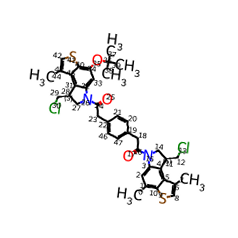 Cc1cc2c(c3c(C)csc13)[C@H](CCl)CN2C(=O)Cc1ccc(CC(=O)N2C[C@@H](CCl)c3c2cc(OC(C)(C)C)c2scc(C)c32)cc1